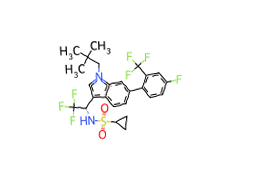 CC(C)(C)Cn1cc([C@H](NS(=O)(=O)C2CC2)C(F)(F)F)c2ccc(-c3ccc(F)cc3C(F)(F)F)cc21